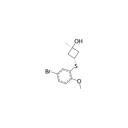 COc1ccc(Br)cc1S[C@H]1C[C@](C)(O)C1